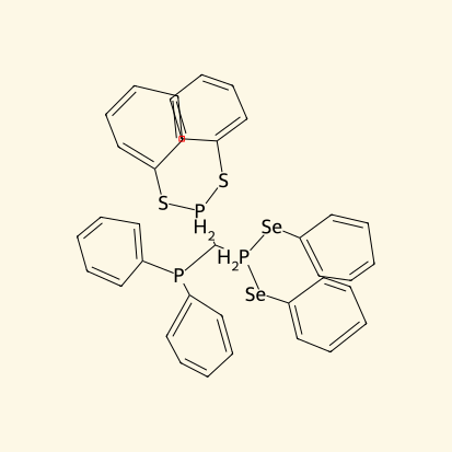 c1ccc(S[PH2](Sc2ccccc2)C(P(c2ccccc2)c2ccccc2)[PH2]([Se]c2ccccc2)[Se]c2ccccc2)cc1